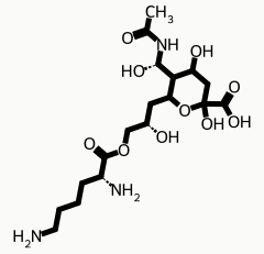 CC(=O)N[C@@H](O)C1C(O)CC(O)(C(=O)O)OC1C[C@H](O)COC(=O)[C@H](N)CCCCN